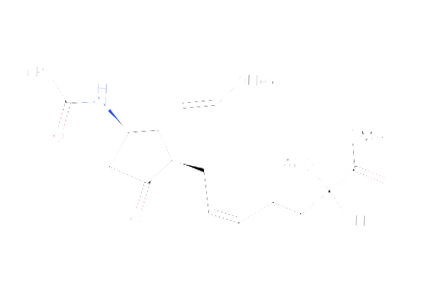 CCCCCC/C=C/[C@H]1[C@H](NC(=O)CCC)CC(=O)[C@@H]1C/C=C\CCC(C)(OC(C)=O)C(=O)OC